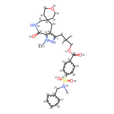 CCn1nc(CC(C)(C)COC(=O)c2ccc(S(=O)(=O)N(C)Cc3ccccc3)cc2)c2c1C(=O)NCC1(CCOCC1)C2